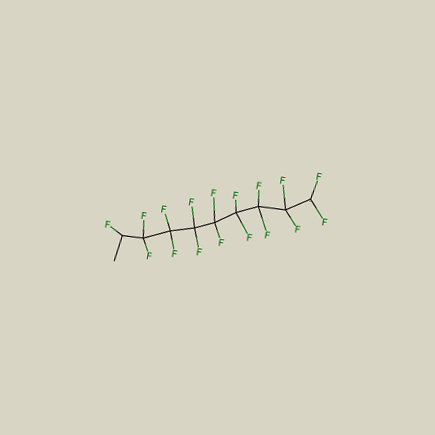 CC(F)C(F)(F)C(F)(F)C(F)(F)C(F)(F)C(F)(F)C(F)(F)C(F)(F)[C](F)F